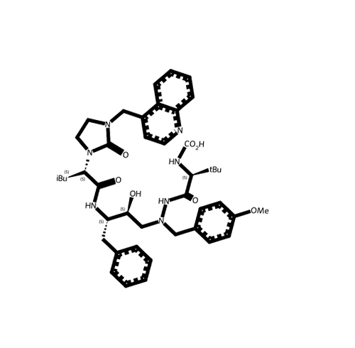 CC[C@H](C)[C@@H](C(=O)N[C@@H](Cc1ccccc1)[C@@H](O)CN(Cc1ccc(OC)cc1)NC(=O)[C@@H](NC(=O)O)C(C)(C)C)N1CCN(Cc2ccnc3ccccc23)C1=O